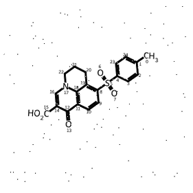 Cc1ccc(S(=O)(=O)c2ccc3c(=O)c(C(=O)O)cn4c3c2CCC4)cc1